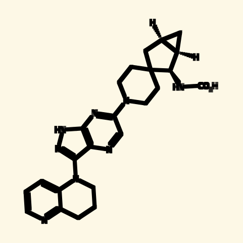 O=C(O)N[C@@H]1[C@@H]2C[C@@H]2CC12CCN(c1cnc3c(N4CCCc5ncccc54)n[nH]c3n1)CC2